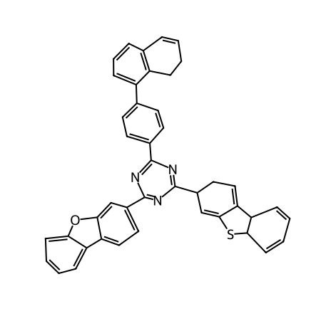 C1=CC2SC3=CC(c4nc(-c5ccc(-c6cccc7c6CCC=C7)cc5)nc(-c5ccc6c(c5)oc5ccccc56)n4)CC=C3C2C=C1